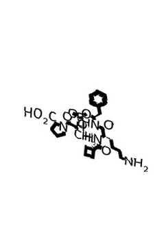 CC(O[PH](=O)O[C@@H](Cc1ccccc1)NC(=O)[C@H](CCCCN)NC(=O)C1CCC1)C(=O)N1CCC[C@H]1C(=O)O